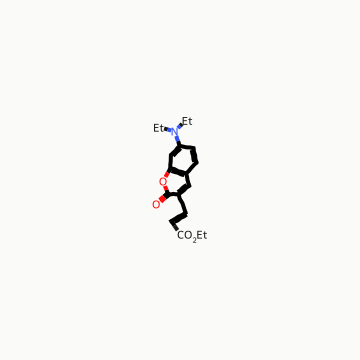 CCOC(=O)/C=C/c1cc2ccc(N(CC)CC)cc2oc1=O